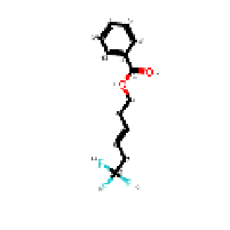 O=C(OCCC=CCC(F)(F)F)c1ccccc1